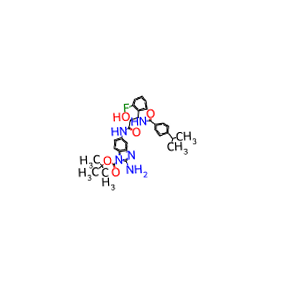 CC(C)c1ccc(C(=O)N[C@@H](c2ccccc2F)[C@@H](O)C(=O)Nc2ccc3c(c2)nc(N)n3C(=O)OC(C)(C)C)cc1